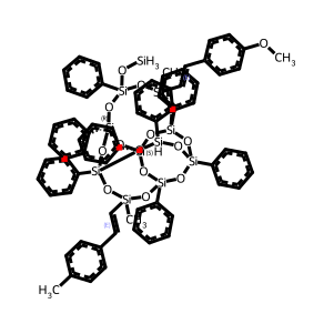 COc1ccc(/C=C/[Si]2(C)O[Si](O[SiH3])(c3ccccc3)O[Si@]3(c4ccccc4)O[Si]4(c5ccccc5)O[SiH](c5ccccc5)O[Si]5(c6ccccc6)O[Si](c6ccccc6)(O2)O[Si@@](c2ccccc2)(O[Si](c2ccccc2)(O[Si](C)(/C=C/c2ccc(C)cc2)O4)O5)O3)cc1